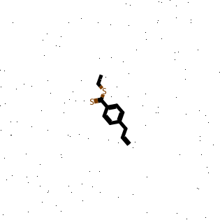 C=CCc1ccc(C(=S)SCC)cc1